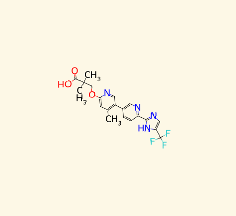 Cc1cc(OCC(C)(C)C(=O)O)ncc1-c1ccc(-c2ncc(C(F)(F)F)[nH]2)nc1